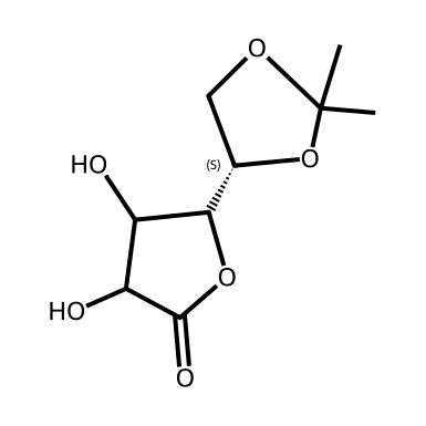 CC1(C)OC[C@@H](C2OC(=O)C(O)C2O)O1